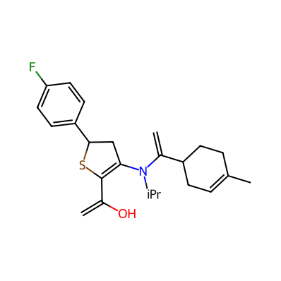 C=C(O)C1=C(N(C(=C)C2CC=C(C)CC2)C(C)C)CC(c2ccc(F)cc2)S1